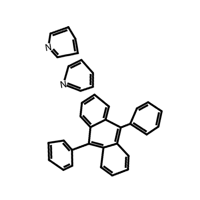 c1ccc(-c2c3ccccc3c(-c3ccccc3)c3ccccc23)cc1.c1ccncc1.c1ccncc1